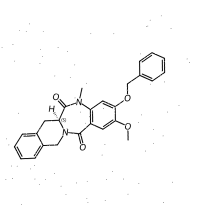 COc1cc2c(cc1OCc1ccccc1)N(C)C(=O)[C@@H]1Cc3ccccc3CN1C2=O